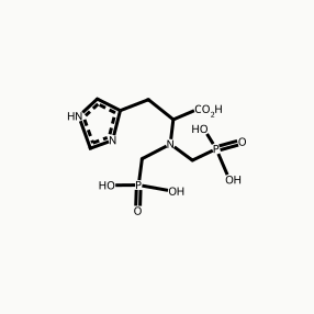 O=C(O)C(Cc1c[nH]cn1)N(CP(=O)(O)O)CP(=O)(O)O